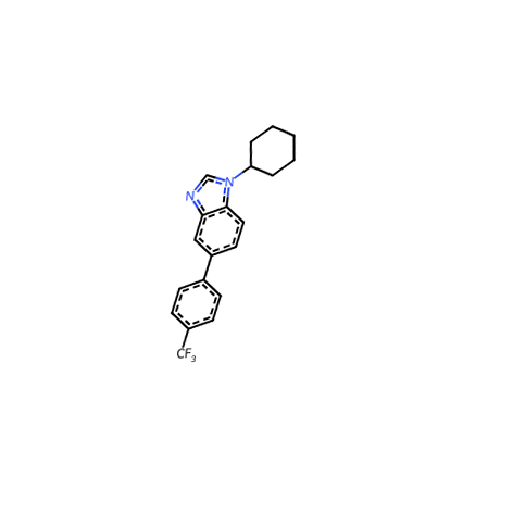 FC(F)(F)c1ccc(-c2ccc3c(c2)ncn3C2CCCCC2)cc1